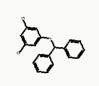 Clc1cc(Cl)cc(SC(c2ccccc2)c2ccccc2)c1